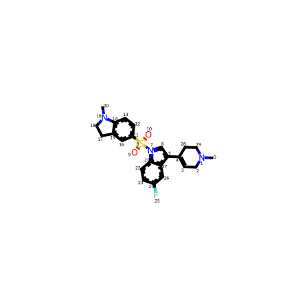 CN1CC=C(c2cn(S(=O)(=O)c3ccc4c(c3)CCN4C)c3ccc(F)cc23)CC1